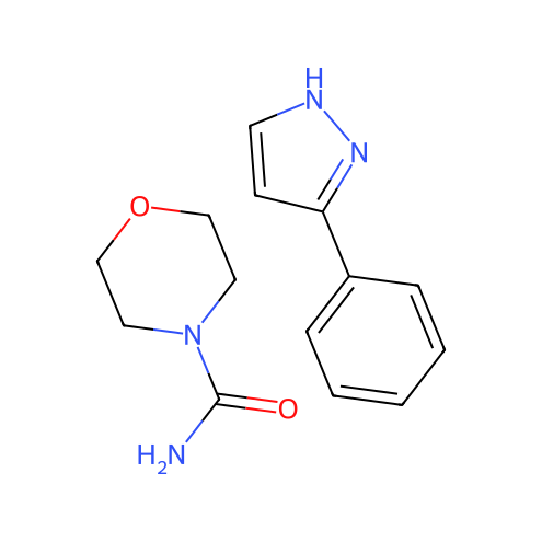 NC(=O)N1CCOCC1.c1ccc(-c2cc[nH]n2)cc1